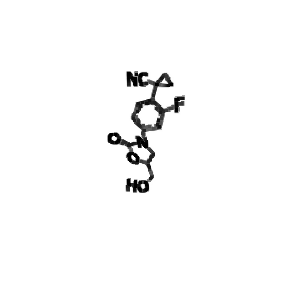 N#CC1(c2ccc(N3CC(CO)OC3=O)cc2F)CC1